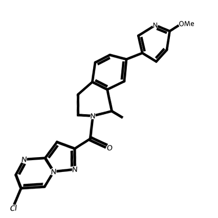 COc1ccc(-c2ccc3c(c2)C(C)N(C(=O)c2cc4ncc(Cl)cn4n2)CC3)cn1